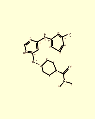 CN(C)C(=O)[C@H]1CC[C@H](Nc2cc(Nc3cccc(Br)c3)ncn2)CC1